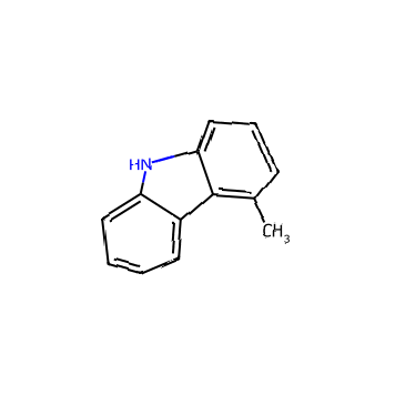 Cc1cccc2[nH]c3ccccc3c12